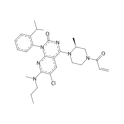 C=CC(=O)N1CCN(c2nc(=O)n(-c3ccccc3C(C)C)c3nc(N(C)CCC)c(Cl)cc23)[C@@H](C)C1